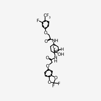 O=C(COc1ccc(C(F)(F)F)c(F)c1)NC12CCC(NC(=O)COc3ccc4c(c3)OC(F)(F)O4)(CC1)[C@@H](O)C2